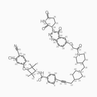 CC1(C)[C@H](NC(=O)c2ccc(C#CCC3CCN(CC4CCN(C(=O)COc5ccc6nnn(C7CCC(=O)NC7=O)c(=O)c6c5)CC4)CC3)cc2)C(C)(C)[C@H]1Oc1ccc(C#N)c(Cl)c1